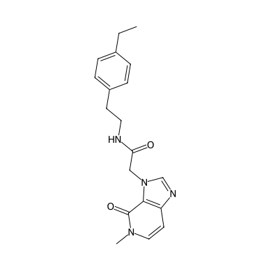 CCc1ccc(CCNC(=O)Cn2cnc3ccn(C)c(=O)c32)cc1